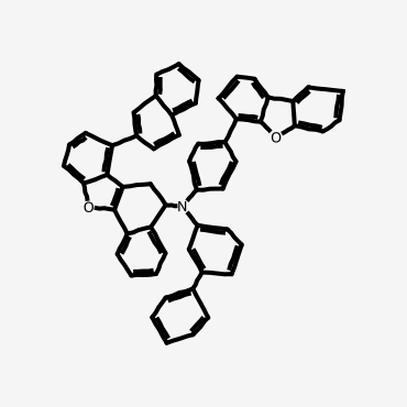 c1ccc(-c2cccc(N(c3ccc(-c4cccc5c4oc4ccccc45)cc3)C3Cc4c(oc5cccc(-c6ccc7ccccc7c6)c45)-c4ccccc43)c2)cc1